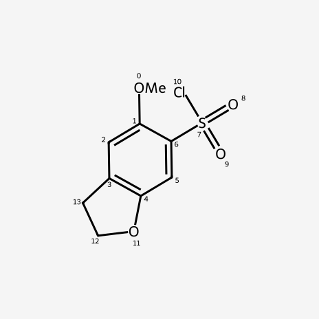 COc1cc2c(cc1S(=O)(=O)Cl)OCC2